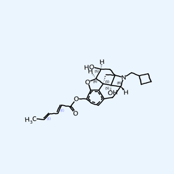 C/C=C/C=C/C(=O)Oc1ccc2c3c1O[C@H]1[C@@H](O)CC45C[C@]31[C@]4(O)[C@@H](C2)N5CC1CCC1